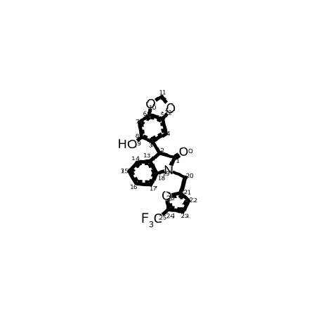 O=C1C(c2cc3c(cc2O)OCO3)c2ccccc2N1Cc1ccc(C(F)(F)F)o1